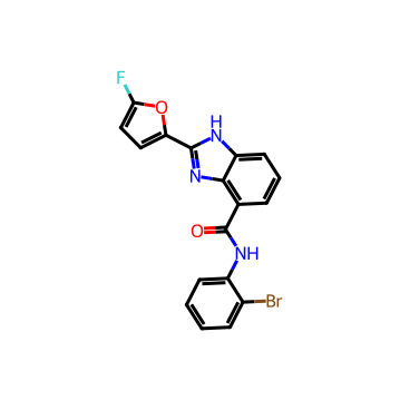 O=C(Nc1ccccc1Br)c1cccc2[nH]c(-c3ccc(F)o3)nc12